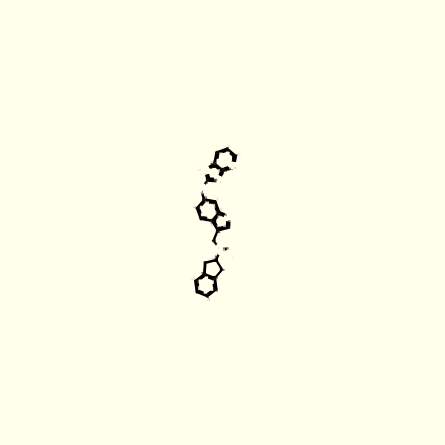 O=CON(Cc1coc2cc(Oc3nc4ncccc4s3)ccc12)C1Cc2ccccc2C1